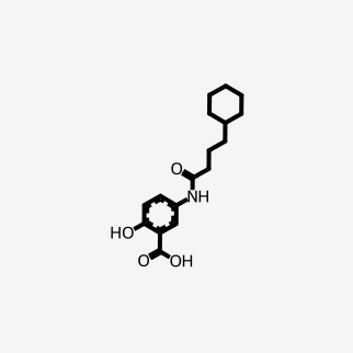 O=C(CCCC1CCCCC1)Nc1ccc(O)c(C(=O)O)c1